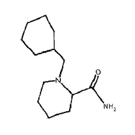 NC(=O)C1C[CH]CCN1CC1CCCCC1